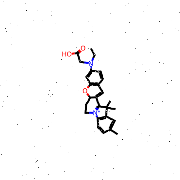 CCN(CC(=O)O)c1ccc2c(c1)OC1CC[N+]3=C(C1=C2)C(C)(C)c1cc(C)ccc13